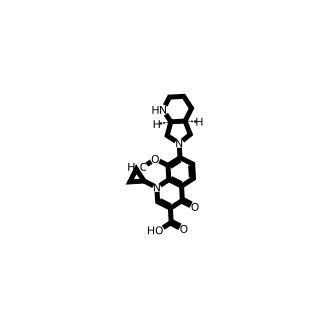 COc1c(N2C[C@@H]3CCCN[C@@H]3C2)ccc2c(=O)c(C(=O)O)cn(C3CC3)c12